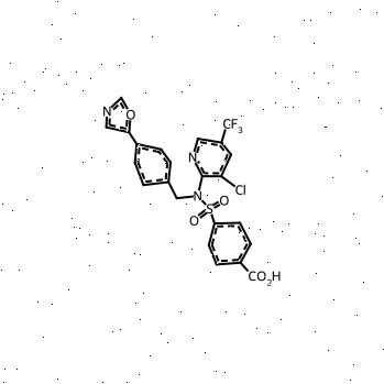 O=C(O)c1ccc(S(=O)(=O)N(Cc2ccc(-c3cnco3)cc2)c2ncc(C(F)(F)F)cc2Cl)cc1